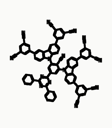 N#Cc1cc(C#N)cc(-c2ccc3c(c2)c2cc(-c4cc(C#N)cc(C#N)c4)ccc2n3-c2cc(-c3nc(-c4ccccc4)nc(-c4ccccc4)n3)cc(-n3c4ccc(-c5cc(C#N)cc(C#N)c5)cc4c4cc(-c5cc(C#N)cc(C#N)c5)ccc43)c2C#N)c1